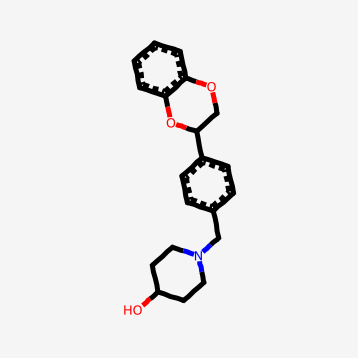 OC1CCN(Cc2ccc(C3COc4ccccc4O3)cc2)CC1